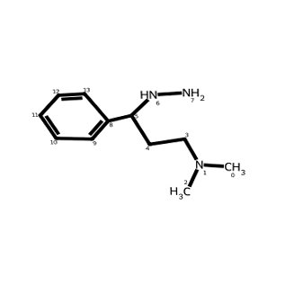 CN(C)CCC(NN)c1ccccc1